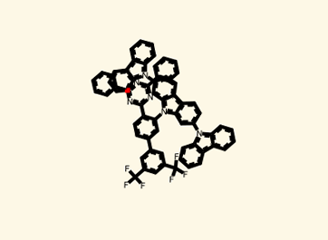 FC(F)(F)c1cc(-c2ccc(-c3nc(-c4ccccc4)nc(-c4ccccc4)n3)c(-n3c4cc(-n5c6ccccc6c6ccccc65)ccc4c4ccc(-n5c6ccccc6c6ccccc65)cc43)c2)cc(C(F)(F)F)c1